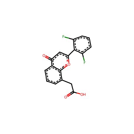 O=C(O)Cc1cccc2c(=O)cc(-c3c(F)cccc3F)oc12